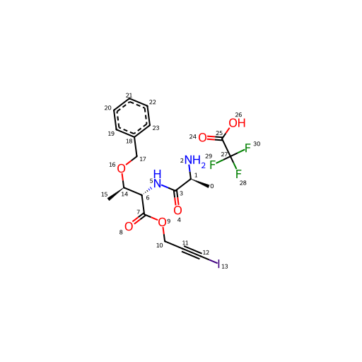 C[C@H](N)C(=O)N[C@H](C(=O)OCC#CI)[C@@H](C)OCc1ccccc1.O=C(O)C(F)(F)F